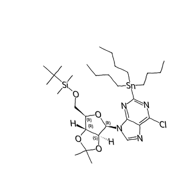 CCC[CH2][Sn]([CH2]CCC)([CH2]CCC)[c]1nc(Cl)c2ncn([C@@H]3O[C@H](CO[Si](C)(C)C(C)(C)C)[C@H]4OC(C)(C)O[C@@H]43)c2n1